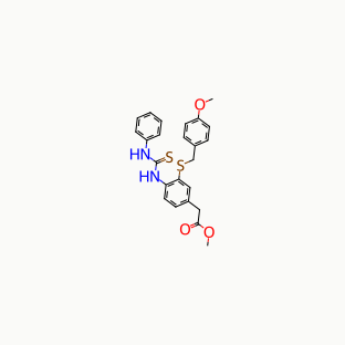 COC(=O)Cc1ccc(NC(=S)Nc2ccccc2)c(SCc2ccc(OC)cc2)c1